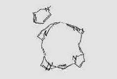 C1=Cc2cc3ccc(cc4nc(cc5ccc(cc1n2)[nH]5)C=C4)[nH]3.CN1C=CC=CC1